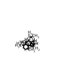 C=C1C(=O)[C@@]23[C@@H]4OC(C)(C)O[C@@]25OC[C@@]2([C@H]([C@@H]5O)C(C)(C)CC[C@@H]2C)[C@@H]3CC[C@@H]14